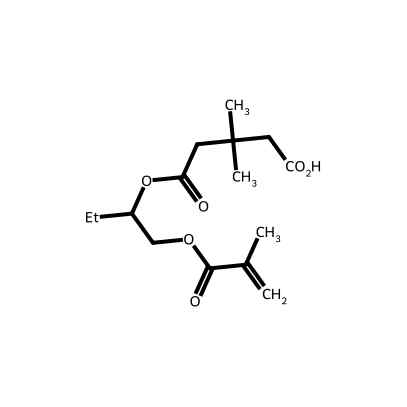 C=C(C)C(=O)OCC(CC)OC(=O)CC(C)(C)CC(=O)O